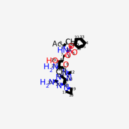 CC(=O)[C@H](C)NP(=O)(OC[C@H]1O[C@@H](n2cnc3c(N4CCC4)nc(N)nc32)[C@](C)(N)C1O)Oc1ccccc1